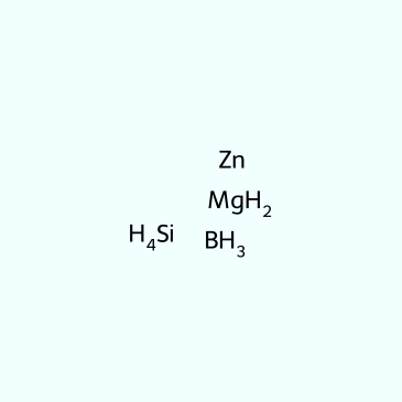 B.[MgH2].[SiH4].[Zn]